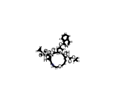 CC(C)(C)OC(=O)NC1CCCCC/C=C\C2CC2(C(=O)NS(=O)(=O)C2CC2)NC(=O)C2CC(Oc3nccc4ccccc34)CN2C1=O